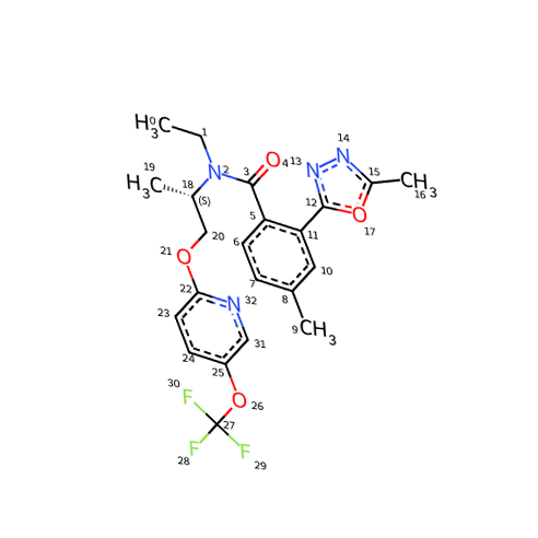 CCN(C(=O)c1ccc(C)cc1-c1nnc(C)o1)[C@@H](C)COc1ccc(OC(F)(F)F)cn1